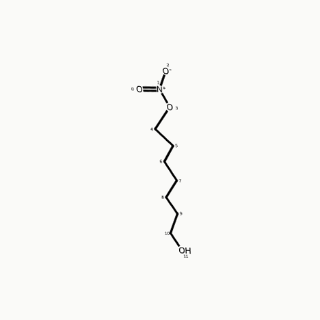 O=[N+]([O-])OCCCCCCCO